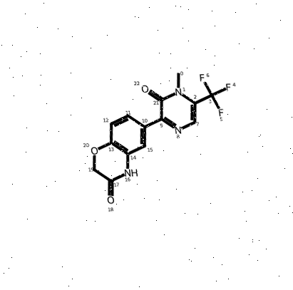 Cn1c(C(F)(F)F)cnc(-c2ccc3c(c2)NC(=O)CO3)c1=O